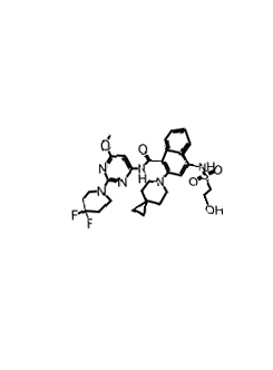 COc1cc(NC(=O)c2c(N3CCC4(CC3)CC4)cc(NS(=O)(=O)CCO)c3ccccc23)nc(N2CCC(F)(F)CC2)n1